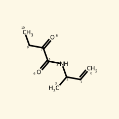 C=CC(C)NC(=O)C(=O)CC